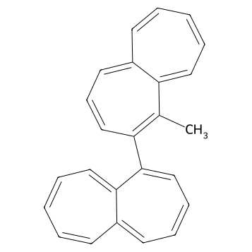 CC1=C(C2=CC=CC=C3C=CC=CC=C32)C=CC=C2C=CC=CC=C21